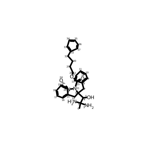 CC(N)(N)C(O)C(Cc1ccccc1)(Cc1ccccc1)N(N=C=O)C(=O)OCCCCc1ccccc1